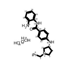 CC(C)CN1CC[C@@H](Nc2ccc(C(=O)Nc3ccccc3N)cc2)C1.Cl.Cl.Cl